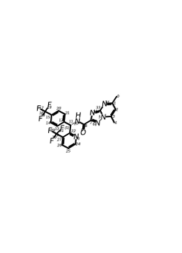 Cc1cc(C)n2nc(C(=O)N[C@@H](c3ccc(C(F)(F)F)cc3)c3ncccc3C(F)(F)F)nc2n1